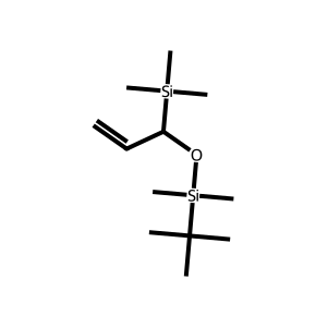 C=CC(O[Si](C)(C)C(C)(C)C)[Si](C)(C)C